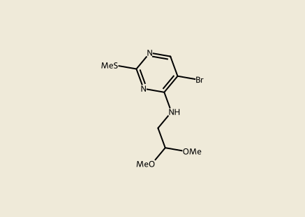 COC(CNc1nc(SC)ncc1Br)OC